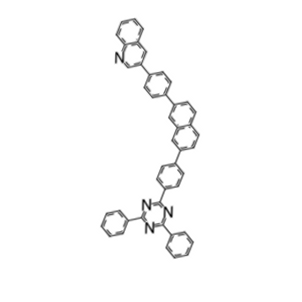 c1ccc(-c2nc(-c3ccccc3)nc(-c3ccc(-c4ccc5ccc(-c6ccc(-c7cnc8ccccc8c7)cc6)cc5c4)cc3)n2)cc1